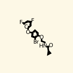 O=C(NCCOc1ccc(Oc2cc(F)cc(F)c2)cc1Br)C1CC1